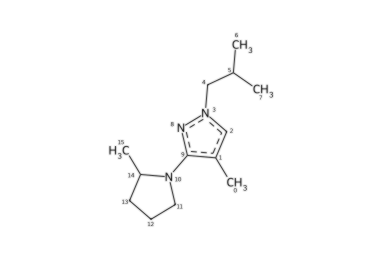 Cc1cn(CC(C)C)nc1N1CCCC1C